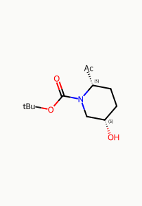 CC(=O)[C@@H]1CC[C@H](O)CN1C(=O)OC(C)(C)C